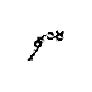 COCCOCc1ccc2nc(CN3CCN(c4ncnc(C)c4C)CC3)oc2c1